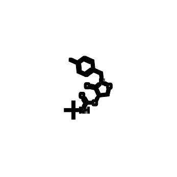 Cc1ccc(CN2OC[C@@H](OC(=O)NC(C)(C)C)C2=O)cc1